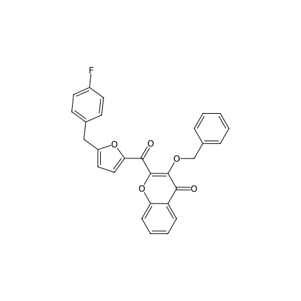 O=C(c1ccc(Cc2ccc(F)cc2)o1)c1oc2ccccc2c(=O)c1OCc1ccccc1